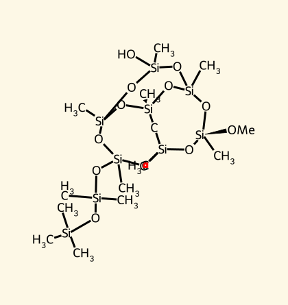 CO[Si@@]1(C)O[Si]2(C)C[Si@]3(C)O[Si](C)(O[Si](C)(O)O[Si](C)(O3)O1)O[Si](C)(O[Si](C)(C)O[Si](C)(C)C)O2